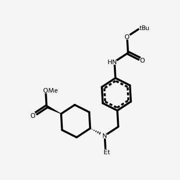 CCN(Cc1ccc(NC(=O)OC(C)(C)C)cc1)[C@H]1CC[C@H](C(=O)OC)CC1